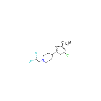 CCOC(=O)c1cc(Cl)cc(C2CCN(CC(F)F)CC2)c1